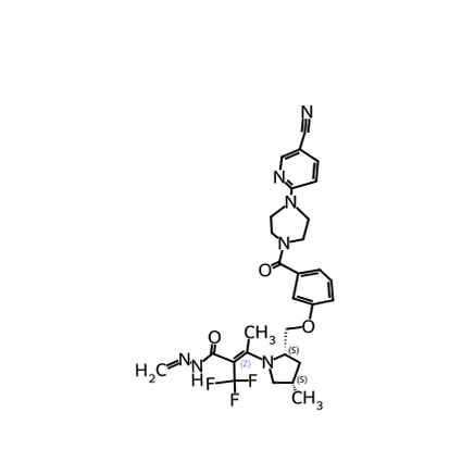 C=NNC(=O)/C(=C(\C)N1C[C@@H](C)C[C@H]1COc1cccc(C(=O)N2CCN(c3ccc(C#N)cn3)CC2)c1)C(F)(F)F